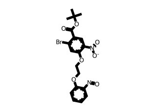 CC(C)(C)OC(=O)c1cc([N+](=O)[O-])c(OCCOc2ccccc2N=O)cc1Br